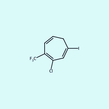 FC(F)(F)C1=C(Cl)C=C(I)CC=C1